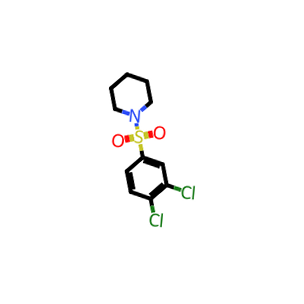 O=S(=O)(c1ccc(Cl)c(Cl)c1)N1CCCCC1